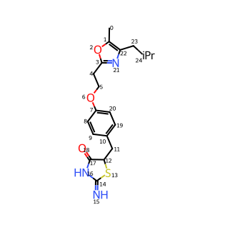 Cc1oc(CCOc2ccc(CC3SC(=N)NC3=O)cc2)nc1CC(C)C